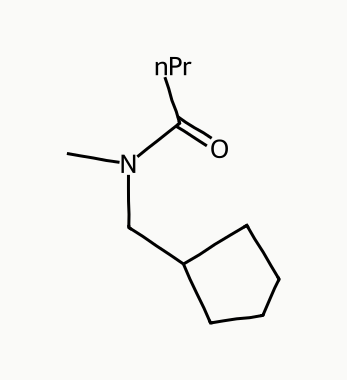 CCCC(=O)N(C)CC1CCCC1